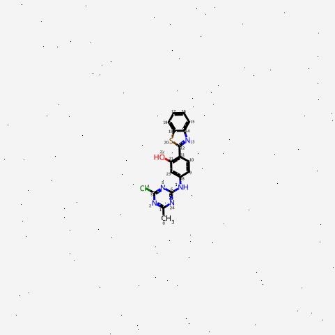 Cc1nc(Cl)nc(Nc2ccc(-c3nc4ccccc4s3)c(O)c2)n1